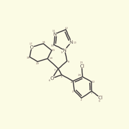 Clc1ccc(C2OC2(Cn2cncn2)C2CCOCC2)c(Cl)c1